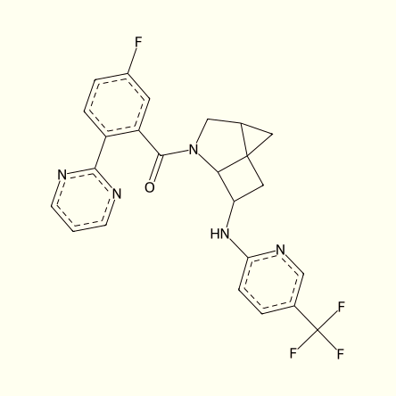 O=C(c1cc(F)ccc1-c1ncccn1)N1CC2CC23CC(Nc2ccc(C(F)(F)F)cn2)C13